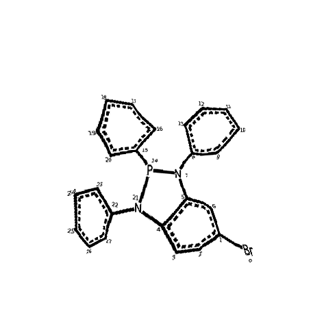 Brc1ccc2c(c1)N(c1ccccc1)P(c1ccccc1)N2c1ccccc1